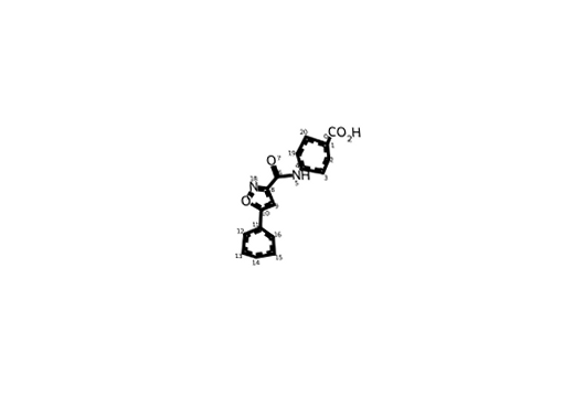 O=C(O)c1ccc(NC(=O)c2cc(-c3ccccc3)on2)cc1